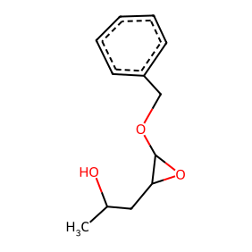 CC(O)CC1OC1OCc1ccccc1